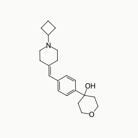 OC1(c2ccc(C=C3CCN(C4CCC4)CC3)cc2)CCOCC1